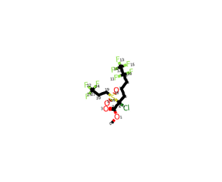 COC(=O)C(Cl)(CCCC(F)(F)C(F)(F)F)S(=O)(=O)CCC(F)(F)F